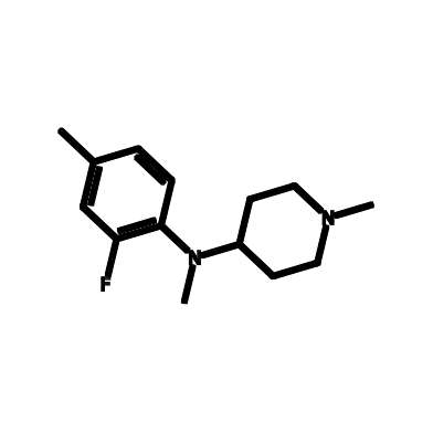 Cc1ccc(N(C)C2CCN(C)CC2)c(F)c1